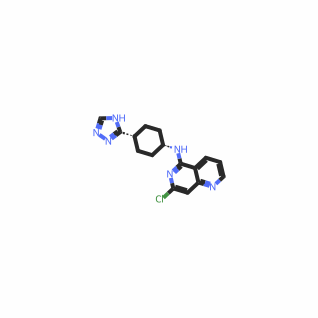 Clc1cc2ncccc2c(N[C@H]2CC[C@@H](c3nnc[nH]3)CC2)n1